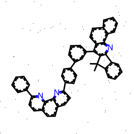 CC1(C)c2ccccc2-c2nc3c(ccc4ccccc43)c(-c3cccc(-c4ccc(-c5ccc6ccc7ccc(-c8ccccc8)nc7c6n5)cc4)c3)c21